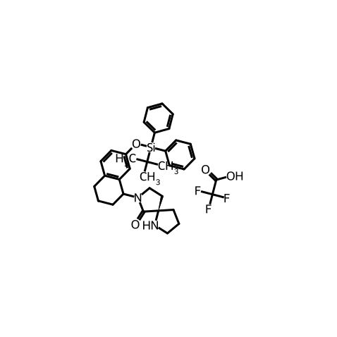 CC(C)(C)[Si](Oc1ccc2c(c1)C(N1CC[C@]3(CCCN3)C1=O)CCC2)(c1ccccc1)c1ccccc1.O=C(O)C(F)(F)F